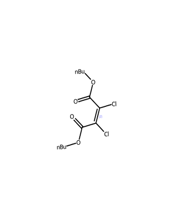 CCCCOC(=O)/C(Cl)=C(/Cl)C(=O)OCCCC